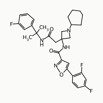 CC(C)(NC(=O)CC1(NC(=O)c2cc(-c3ccc(F)cc3F)on2)CN(C2CCCCC2)C1)c1cccc(F)c1